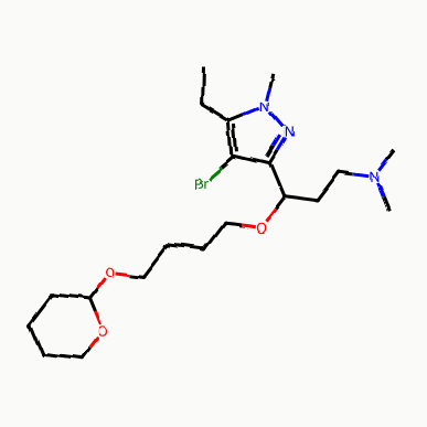 CCc1c(Br)c(C(CCN(C)C)OCCCCOC2CCCCO2)nn1C